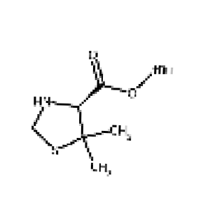 CC(C)(C)OC(=O)[C@@H]1NCSC1(C)C